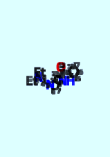 CCN(CC)CCN1CCc2[nH]c(C(=O)c3ccccc3)cc21